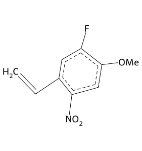 C=Cc1cc(F)c(OC)cc1[N+](=O)[O-]